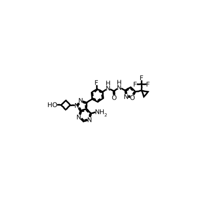 Nc1ncnc2c1c(-c1ccc(NC(=O)Nc3cc(C4(C(F)(F)F)CC4)on3)c(F)c1)nn2C1CC(O)C1